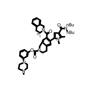 CCCCN(CCCC)C(=O)c1cc(-c2cc3c(cc2C(=O)N2Cc4ccccc4C[C@H]2C)CN(C(=O)Oc2cccc(N4CCN(C)CC4)c2)CC3)n(C)c1C